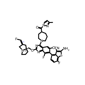 Cc1ccn(C(=O)C2CCCN(c3nc(OC[C@@]45CCCN4C/C(=C\F)C5)nc4c(F)c(-c5ccc(F)c6sc(N)c(C#N)c56)c(Cl)cc34)CC2)n1